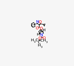 CC(C)(C)OC(=O)N1C[C@@H]2C[C@H]1C[C@H]2OC(=O)c1c(C23CCC(CC2)CC3)noc1C1CC1